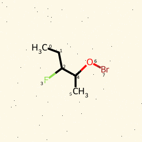 CCC(F)C(C)OBr